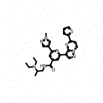 CCN(CC)C(C)CNC(=O)c1cc(-c2cnn(C)c2)nc(-c2cnn3ccc(-c4cccs4)nc23)c1